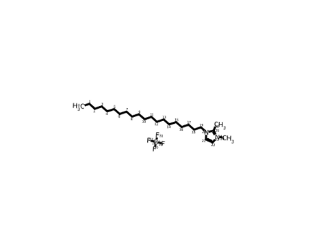 CCCCCCCCCCCCCCCCCCCCn1cc[n+](C)c1C.F[B-](F)(F)F